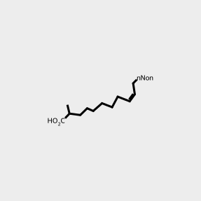 CCCCCCCCCC/C=C\CCCCCCC(C)C(=O)O